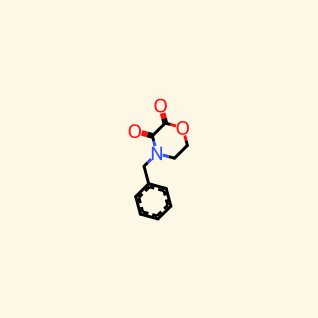 O=C1OCCN(Cc2ccccc2)C1=O